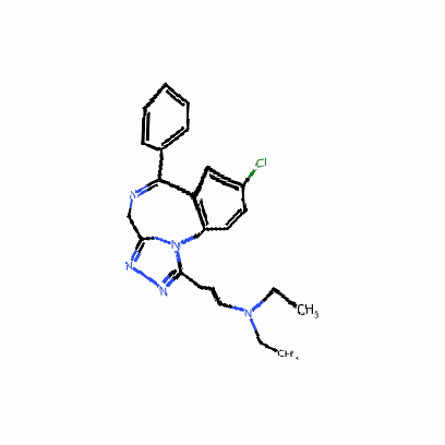 CCN(CC)CCc1nnc2n1-c1ccc(Cl)cc1C(c1ccccc1)=NC2